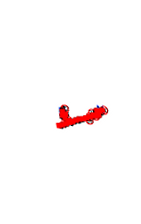 CCCCCC[C@H](CCCCCCCCCCC(=O)OCC(=O)Oc1ccc(N=C=O)cc1)OC(=O)c1ccc(N=C=O)cc1